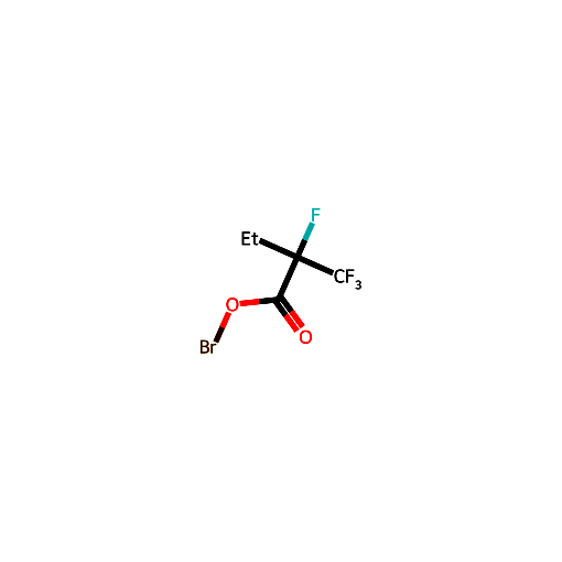 CCC(F)(C(=O)OBr)C(F)(F)F